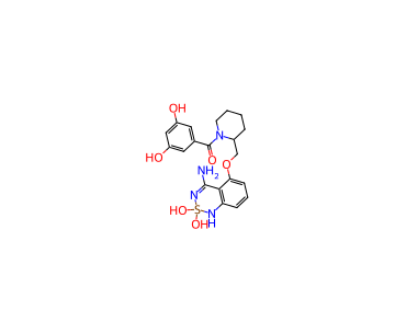 NC1=NS(O)(O)Nc2cccc(OCC3CCCCN3C(=O)c3cc(O)cc(O)c3)c21